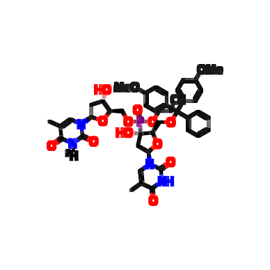 [2H]n1c(=O)c(C)cn([C@H]2C[C@H](O)[C@@H](COP(=O)(OCCC#N)[C@]3(O)C[C@H](n4cc(C)c(=O)[nH]c4=O)O[C@@H]3COC(c3ccccc3)(c3ccc(OC)cc3)c3ccc(OC)cc3)O2)c1=O